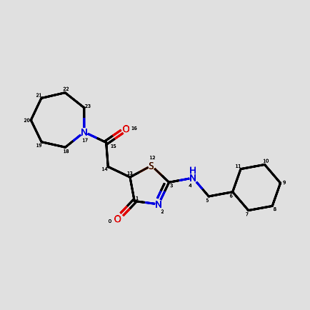 O=C1N=C(NCC2CCCCC2)SC1CC(=O)N1CCCCCC1